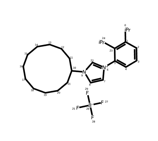 CC(C)c1cccc(-[n+]2ccn(C3CCCCCCCCCCC3)c2)c1C(C)C.F[B-](F)(F)F